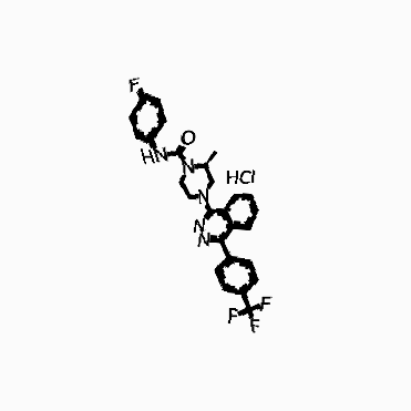 C[C@H]1CN(c2nnc(-c3ccc(C(F)(F)F)cc3)c3ccccc23)CCN1C(=O)Nc1ccc(F)cc1.Cl